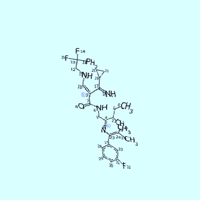 CCC(C)/C(CNC(=O)/C(=C/NCC(F)(F)P)C(=N)C1CC1)=N\C(=C(C)C)c1cccc(F)c1